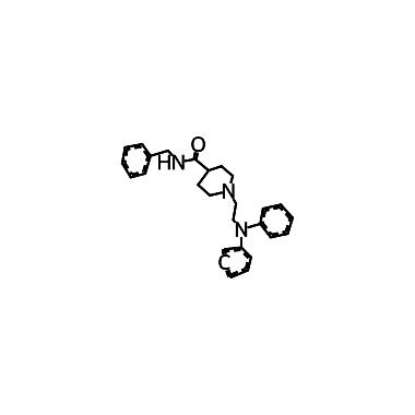 O=C(NCc1ccccc1)C1CCN(CCN(c2ccccc2)c2ccccc2)CC1